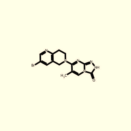 Cc1cn2c(=O)[nH]nc2nc1N1CCc2ncc(Br)cc2C1